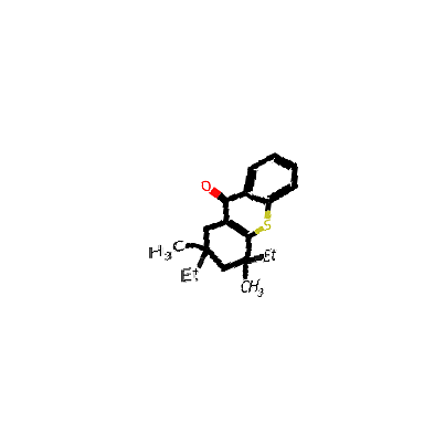 CCC1(C)Cc2c(sc3ccccc3c2=O)C(C)(CC)C1